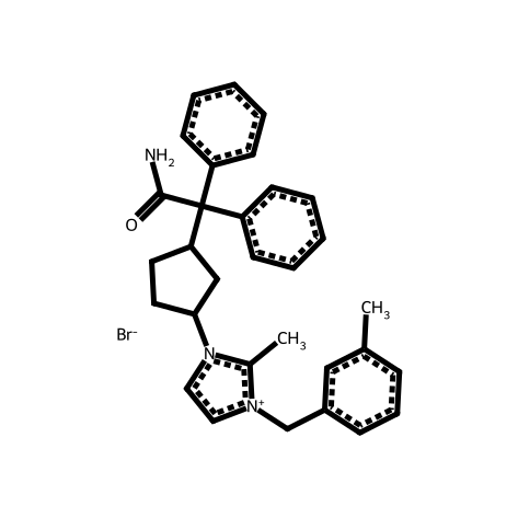 Cc1cccc(C[n+]2ccn(C3CCC(C(C(N)=O)(c4ccccc4)c4ccccc4)C3)c2C)c1.[Br-]